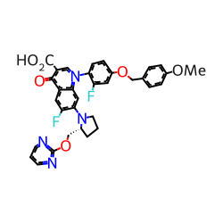 COc1ccc(COc2ccc(-n3cc(C(=O)O)c(=O)c4cc(F)c(N5CCC[C@@H]5COc5ncccn5)cc43)c(F)c2)cc1